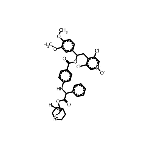 COc1ccc(C(Cc2c(Cl)c[n+]([O-])cc2Cl)OC(=O)c2ccc(NC(C(=O)O[C@H]3CN4CCC3CC4)c3ccccc3)cc2)cc1OC